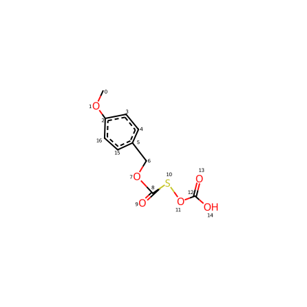 COc1ccc(COC(=O)SOC(=O)O)cc1